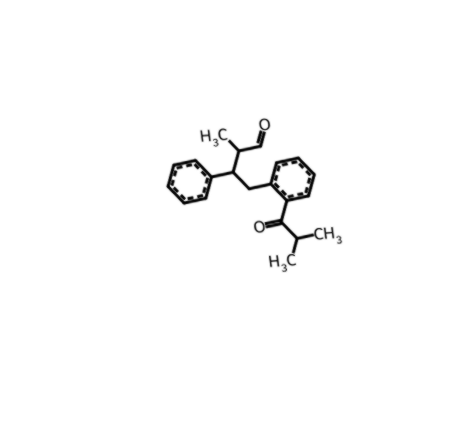 CC(C)C(=O)c1ccccc1CC(c1ccccc1)C(C)C=O